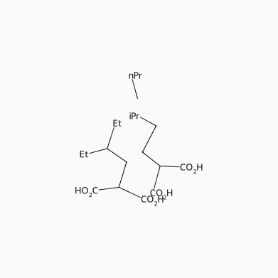 CC(C)CCC(C(=O)O)C(=O)O.CCC(CC)CC(C(=O)O)C(=O)O.CCCC